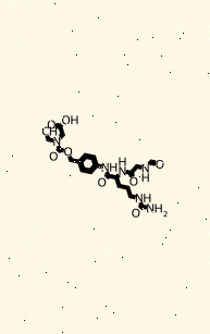 CCN(CC(=O)O)C(=O)OCc1ccc(NC(=O)C(CCCNC(N)=O)NC(=O)CNC=O)cc1